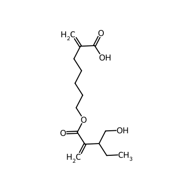 C=C(CCCCCOC(=O)C(=C)C(CC)CO)C(=O)O